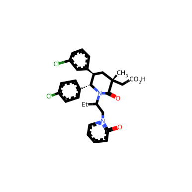 CCC(Cn1ccccc1=O)N1C(=O)[C@@](C)(CC(=O)O)C[C@H](c2cccc(Cl)c2)[C@H]1c1ccc(Cl)cc1